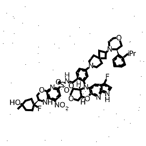 CC(C)c1ccccc1[C@@H]1COCCN1C1CC2(CCN(c3ccc(C(=O)NS(=O)(=O)c4cc([N+](=O)[O-])c5c(n4)OC[C@H](C4(F)CCC(C)(O)CC4)N5)c(N4c5cc6c(F)c[nH]c6nc5O[C@H]5COCC[C@@H]54)c3)CC2)C1